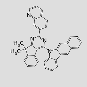 CC1(C)c2ccccc2-c2c(-n3c4ccccc4c4cc5ccccc5cc43)nc(-c3ccc4cccnc4c3)nc21